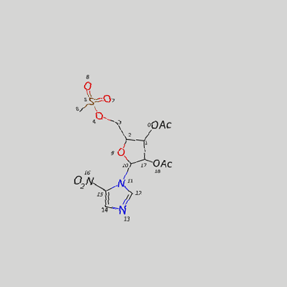 CC(=O)OC1C(COS(C)(=O)=O)OC(n2cncc2[N+](=O)[O-])C1OC(C)=O